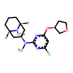 CN(c1nc(Cl)cc(O[C@H]2CCOC2)n1)[C@@H]1C[C@H]2CCC[C@@H](C1)N2C(=O)O